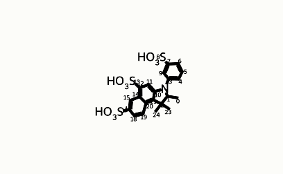 CC1N(c2cccc(S(=O)(=O)O)c2)c2cc(S(=O)(=O)O)c3cc(S(=O)(=O)O)ccc3c2C1(C)C